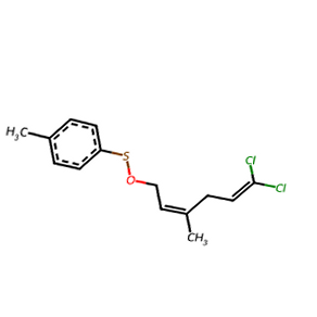 CC(=CCOSc1ccc(C)cc1)CC=C(Cl)Cl